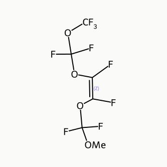 COC(F)(F)O/C(F)=C(/F)OC(F)(F)OC(F)(F)F